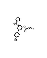 CCc1ccc(C2CC(OC(=O)OC)CN(C(=O)N3CCCC3)C2)cc1